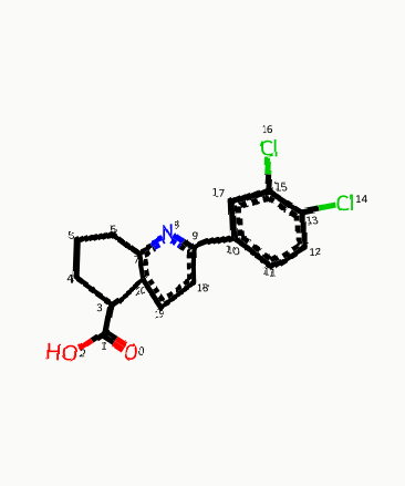 O=C(O)C1CCCc2nc(-c3ccc(Cl)c(Cl)c3)ccc21